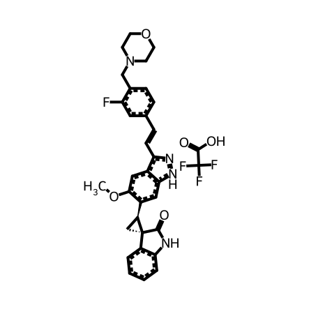 COc1cc2c(/C=C/c3ccc(CN4CCOCC4)c(F)c3)n[nH]c2cc1[C@@H]1C[C@@]12C(=O)Nc1ccccc12.O=C(O)C(F)(F)F